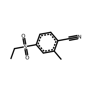 CCS(=O)(=O)c1ccc(C#N)c(C)c1